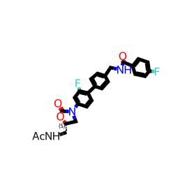 CC(=O)NC[C@H]1CN(c2ccc(-c3ccc(CNC(=O)c4ccc(F)cc4)cc3)c(F)c2)C(=O)O1